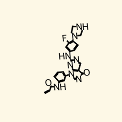 C=CC(=O)Nc1cccc(-n2cnc(=O)c3cnc(Nc4ccc(N5CCNCC5)c(F)c4)nc32)c1